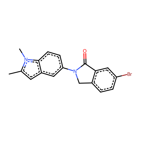 Cc1cc2cc(N3Cc4ccc(Br)cc4C3=O)ccc2n1C